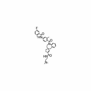 Cc1ccc(F)cc1C(=O)Nc1ccc(C(=O)N2CCC3(C=C(C(=O)NCCN(C)C)CC3)Cc3ccccc32)c(C)c1